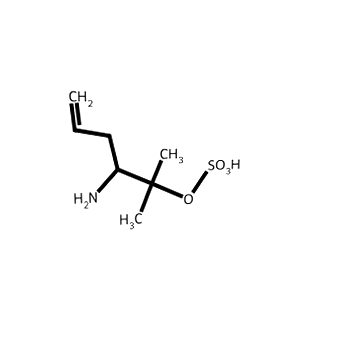 C=CCC(N)C(C)(C)OS(=O)(=O)O